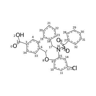 O=C(O)c1ccc(COc2ccc(Cl)cc2N(Cc2ccccc2)S(=O)(=O)c2ccccc2)cc1